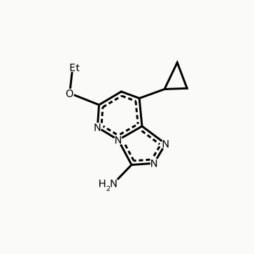 CCOc1cc(C2CC2)c2nnc(N)n2n1